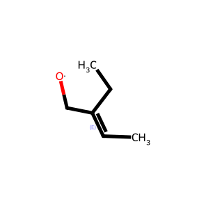 C/C=C(\CC)C[O]